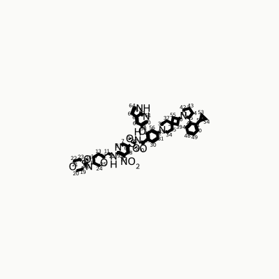 O=C(NS(=O)(=O)c1cnc(NC[C@@H]2CC[C@@H](N=S3(=O)CCOCC3)CO2)c([N+](=O)[O-])c1)c1ccc(N2CCC3(CC2)CC(N2CCC[C@H]2c2ccccc2C2CC2)C3)cc1Oc1cnc2[nH]ccc2c1